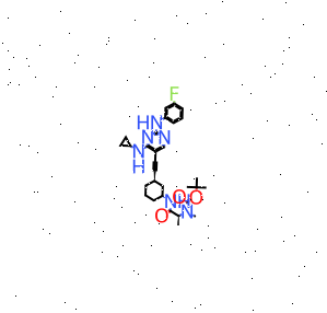 C[C@@H](C(=O)N[C@H]1CCC[C@@H](C#Cc2cnc(Nc3cccc(F)c3)nc2NC2CC2)C1)N(C)C(=O)OC(C)(C)C